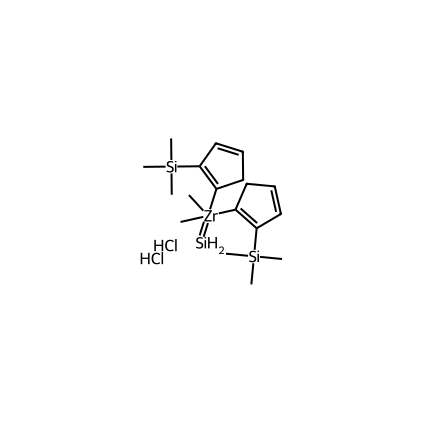 C[Si](C)(C)C1=[C]([Zr]([CH3])([CH3])(=[SiH2])[C]2=C([Si](C)(C)C)C=CC2)CC=C1.Cl.Cl